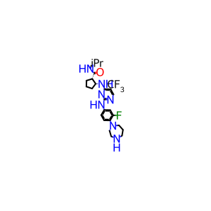 CC(C)NC(=O)[C@H]1CCC[C@H]1Nc1nc(Nc2ccc(N3CCCNCC3)c(F)c2)ncc1C(F)(F)F